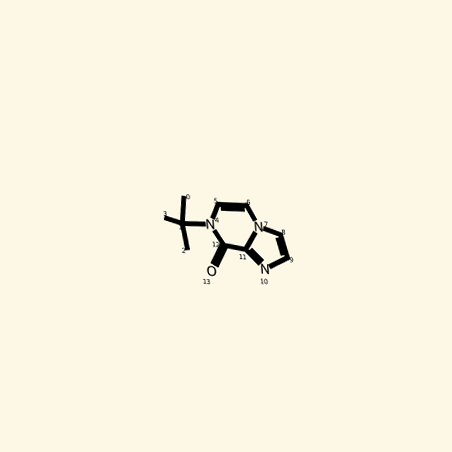 CC(C)(C)n1ccn2ccnc2c1=O